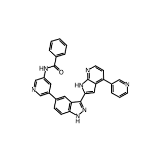 O=C(Nc1cncc(-c2ccc3[nH]nc(-c4cc5c(-c6cccnc6)ccnc5[nH]4)c3c2)c1)c1ccccc1